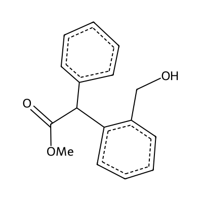 COC(=O)C(c1ccccc1)c1ccccc1CO